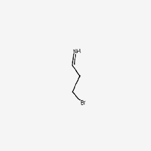 N=CCCBr